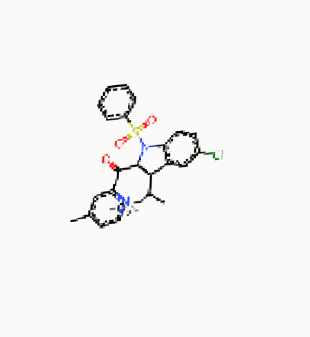 Cc1ccnc(C(=O)C2C(C(C)C(=O)O)c3cc(Cl)ccc3N2S(=O)(=O)c2ccccc2)c1